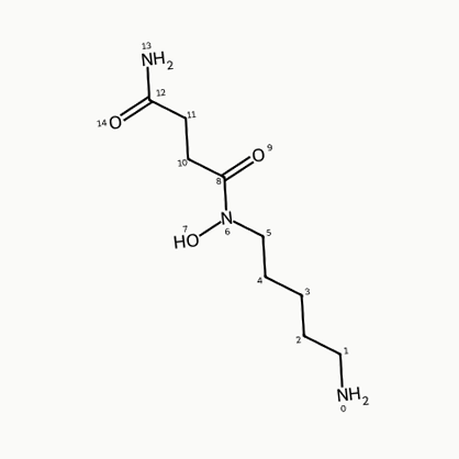 NCCCCCN(O)C(=O)CCC(N)=O